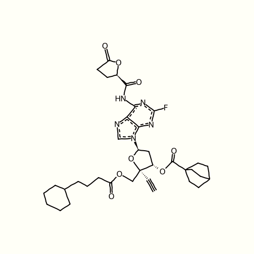 C#C[C@]1(COC(=O)CCCC2CCCCC2)O[C@@H](n2cnc3c(NC(=O)[C@H]4CCC(=O)O4)nc(F)nc32)C[C@@H]1OC(=O)C12CCC(CC1)CC2